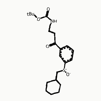 CC(C)(C)OC(=O)NCCC(=O)c1cccc([S+]([O-])CC2CCCCC2)c1